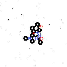 c1ccc(-n2c3ccccc3c3c(-c4nc5c(nc4-n4c6ccc7cccc8c7c6c6c7c(ccc64)oc4cccc-8c47)oc4ccccc45)cccc32)cc1